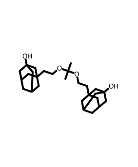 CC(C)(OCCC12CC3CC(CC(O)(C3)C1)C2)OCCC12CC3CC(CC(O)(C3)C1)C2